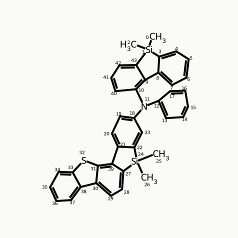 C[Si]1(C)c2ccccc2-c2c(N(c3ccccc3)c3ccc4c(c3)[Si](C)(C)c3ccc5c(sc6ccccc65)c3-4)cccc21